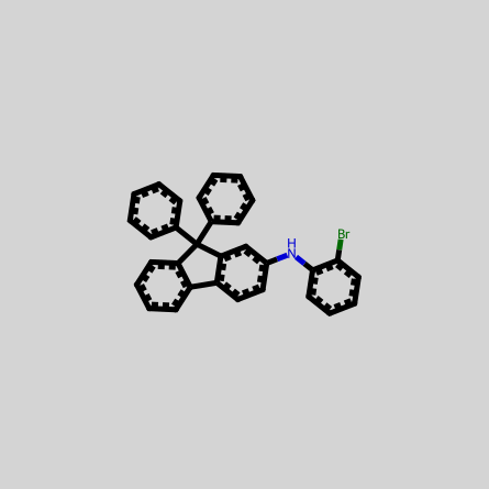 Brc1ccccc1Nc1ccc2c(c1)C(c1ccccc1)(c1ccccc1)c1ccccc1-2